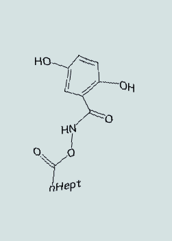 CCCCCCCC(=O)ONC(=O)c1cc(O)ccc1O